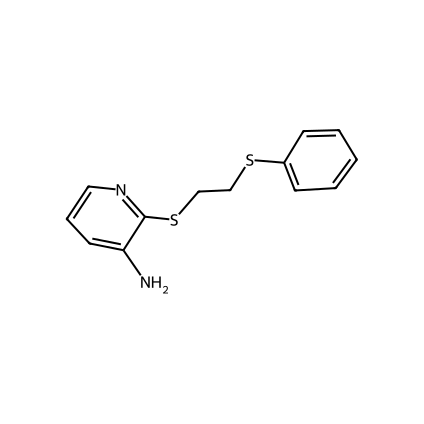 Nc1cccnc1SCCSc1ccccc1